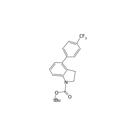 CC(C)(C)OC(=O)N1CCc2c(-c3ccc(C(F)(F)F)cc3)cccc21